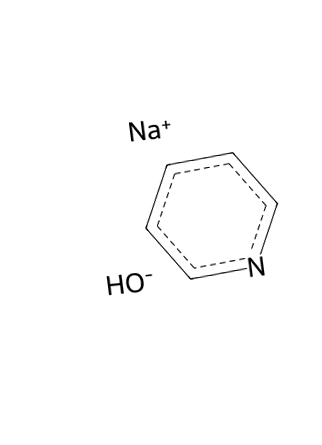 [Na+].[OH-].c1ccncc1